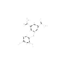 O=C(O)c1cc(Cc2ccc(F)cc2F)cc(C(=O)O)c1